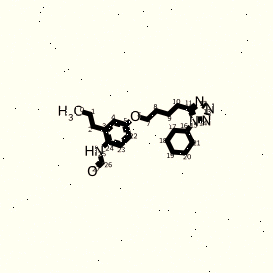 CCCc1cc(OCCCCc2nnnn2C2CCCCC2)ccc1NC=O